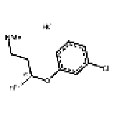 CCC[C@H](CCNC)Oc1cccc(Cl)c1.Cl